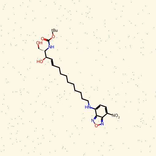 CC(C)(C)OC(=O)N[C@@H](CO)[C@H](O)/C=C/CCCCCCCCCNc1ccc([N+](=O)[O-])c2nonc12